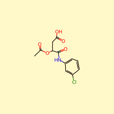 CC(=O)OC(CC(=O)O)C(=O)Nc1cccc(Cl)c1